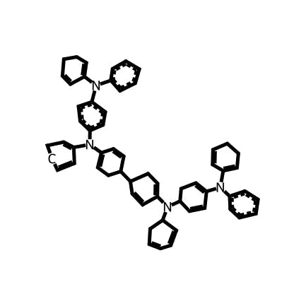 C1=CCC(N(C2=CCC(C3C=CC(N(C4=CCCC=C4)c4ccc(N(C5=CCCC=C5)c5ccccc5)cc4)=CC3)C=C2)C2C=CC(N(C3=CCCC=C3)c3ccccc3)=CC2)C=C1